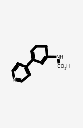 O=C(O)NC1=CC(c2ccncc2)=CC[CH]1